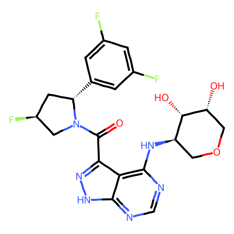 O=C(c1n[nH]c2ncnc(N[C@@H]3COC[C@@H](O)[C@H]3O)c12)N1C[C@@H](F)C[C@@H]1c1cc(F)cc(F)c1